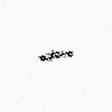 CC1(C)c2nc(C(=O)NCc3ccc(F)cc3)c(O)c(=O)n2CCN1CC(=O)NCc1ccncc1